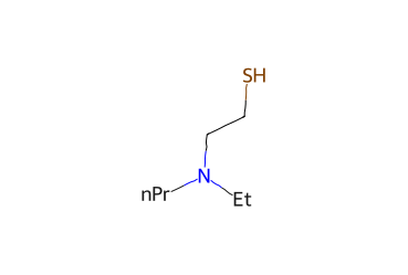 CCCN(CC)CCS